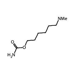 CNCCCCCCOC(N)=O